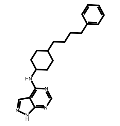 c1ccc(CCCCC2CCC(Nc3ncnc4[nH]ncc34)CC2)cc1